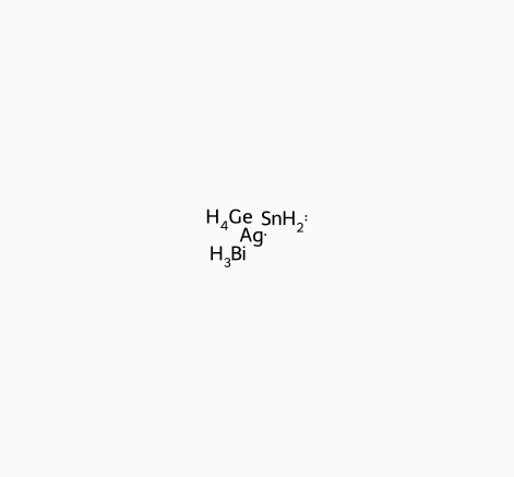 [Ag].[BiH3].[GeH4].[SnH2]